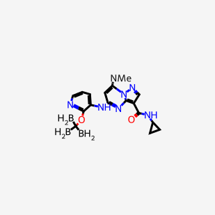 BC(B)(B)Oc1ncccc1Nc1cc(NC)n2ncc(C(=O)NC3CC3)c2n1